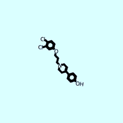 Oc1ccc(C2=CCN(CCCOc3ccc(Cl)c(Cl)c3)CC2)cc1